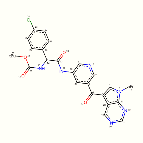 CC(C)n1cc(C(=O)c2cncc(NC(=O)C(NC(=O)OC(C)(C)C)c3ccc(Cl)cc3)c2)c2cncnc21